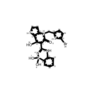 O=c1c(C2=NS(O)(O)c3ccccc3N2)c(O)c2sccc2n1Cc1ccc(Br)s1